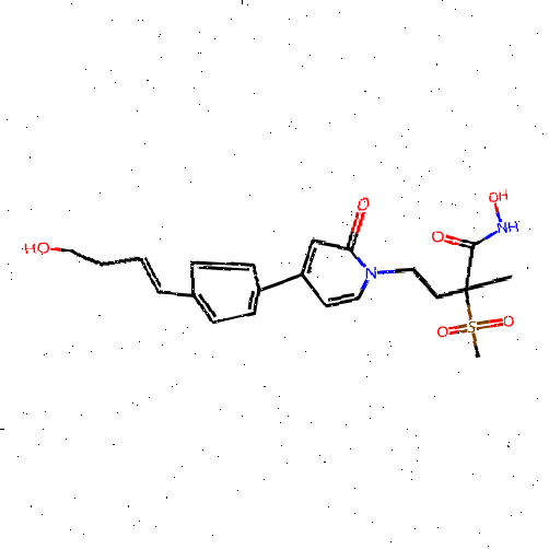 CC(CCn1ccc(-c2ccc(C=CCCO)cc2)cc1=O)(C(=O)NO)S(C)(=O)=O